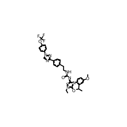 CCn1sc(=NC(=O)NCCc2ccc(-c3ncn(-c4ccc(OC(F)(F)F)cc4)n3)cc2)n(-c2ccc(OC)cc2C(C)C)c1=O